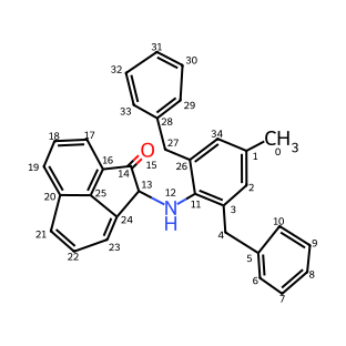 Cc1cc(Cc2ccccc2)c(NC2C(=O)c3cccc4cccc2c34)c(Cc2ccccc2)c1